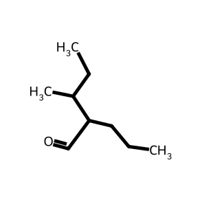 CCCC(C=O)C(C)CC